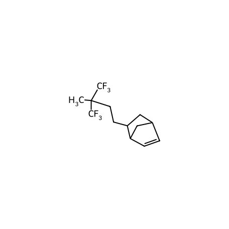 CC(CCC1CC2C=CC1C2)(C(F)(F)F)C(F)(F)F